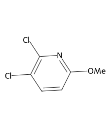 COc1ccc(Cl)c(Cl)n1